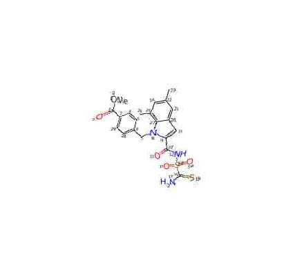 COC(=O)c1ccc(Cn2c(C(=O)NS(=O)(=O)C(N)=S)cc3cc(C)cc(C)c32)cc1